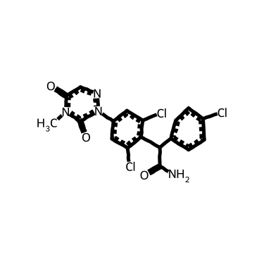 Cn1c(=O)cnn(-c2cc(Cl)c(C(C(N)=O)c3ccc(Cl)cc3)c(Cl)c2)c1=O